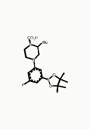 CC(C)(C)C1CN(c2cc(F)cc(B3OC(C)(C)C(C)(C)O3)c2)CCN1C(=O)O